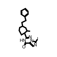 CC1CC(CCc2ccccc2)CCCC1c1nn2c(I)ncc2c(=O)[nH]1